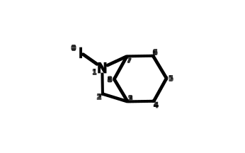 IN1CC2CCCC1C2